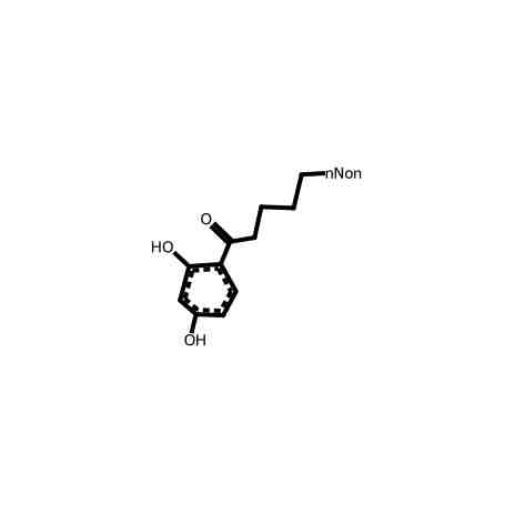 CCCCCCCCCCCCCC(=O)c1ccc(O)cc1O